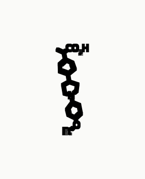 CCOc1ccc(N2CCC(c3ccc(C(C)C(=O)O)cc3)CC2)cc1